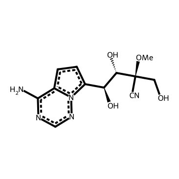 CO[C@](C#N)(CO)[C@@H](O)[C@@H](O)c1ccc2c(N)ncnn12